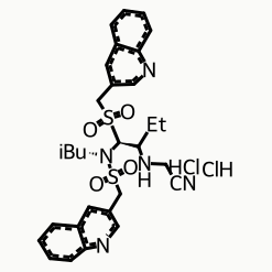 CCC(NCC#N)[C@@H](N([C@@H](C)CC)S(=O)(=O)Cc1cnc2ccccc2c1)S(=O)(=O)Cc1cnc2ccccc2c1.Cl.Cl